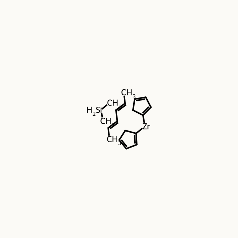 C1=CC[C]([Zr][C]2=CC=CC2)=C1.CC=CC=CC.C[SiH2]C